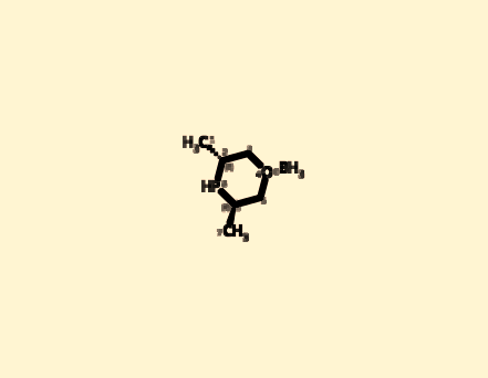 B.C[C@@H]1COC[C@@H](C)P1